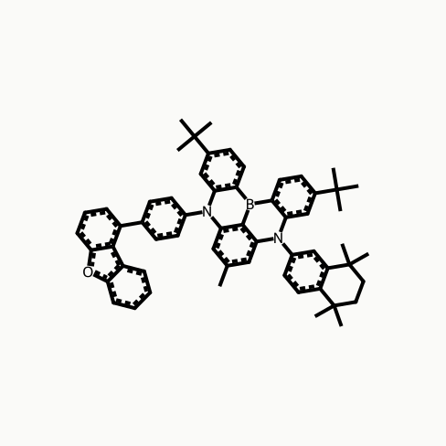 Cc1cc2c3c(c1)N(c1ccc4c(c1)C(C)(C)CCC4(C)C)c1cc(C(C)(C)C)ccc1B3c1ccc(C(C)(C)C)cc1N2c1ccc(-c2cccc3oc4ccccc4c23)cc1